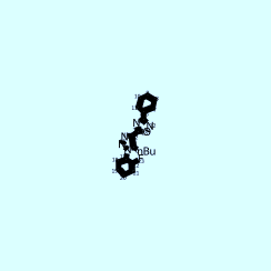 CCCCc1c(-c2nc(-c3ccccc3)no2)nnn1-c1ccccc1F